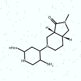 CCCCCCC1CC(N2CC[C@H]3CN(C)C(=O)[C@H]3C2)C(N)CN1